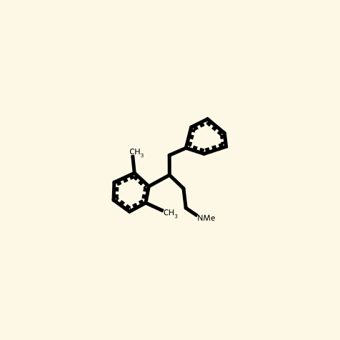 CNCCC(Cc1ccccc1)c1c(C)cccc1C